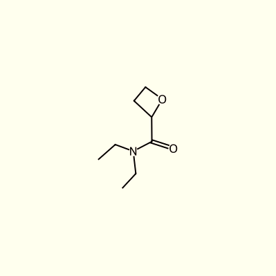 CCN(CC)C(=O)C1CCO1